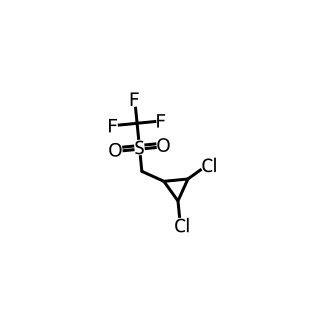 O=S(=O)(CC1C(Cl)C1Cl)C(F)(F)F